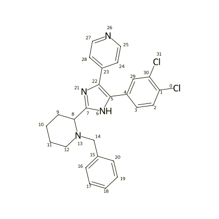 Clc1ccc(-c2[nH]c(C3CCCCN3Cc3ccccc3)nc2-c2ccncc2)cc1Cl